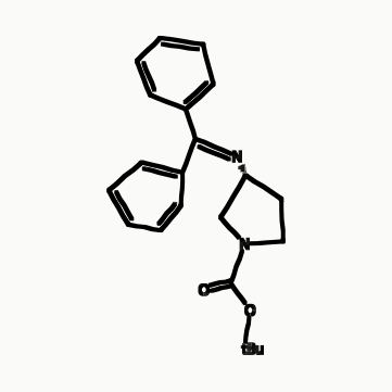 CC(C)(C)OC(=O)N1CC[C@@H](N=C(c2ccccc2)c2ccccc2)C1